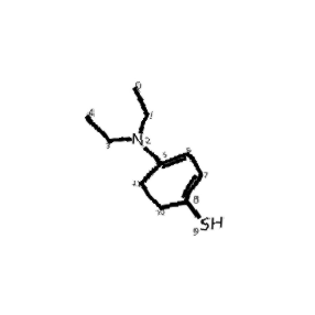 CCN(CC)C1=CC=C(S)CC1